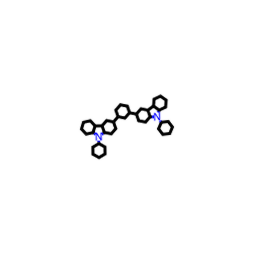 C1CCC(N2C3CCCCC3C3CC(C4CCCC(C5CCC6C(C5)C5CCCCC5N6C5CCCCC5)C4)CCC32)CC1